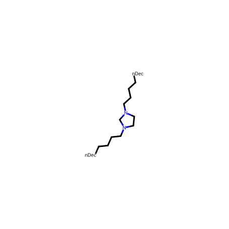 CCCCCCCCCCCCCCN1CCN(CCCCCCCCCCCCCC)C1